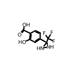 O=C(O)c1ccc(C2(C(F)(F)F)NN2)cc1O